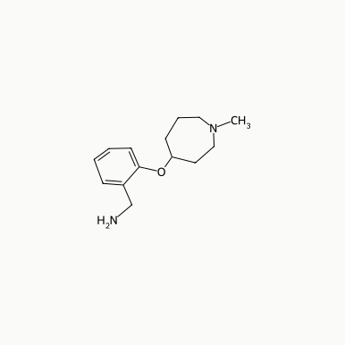 CN1CCCC(Oc2ccccc2CN)CC1